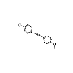 COc1ccc(C#Cc2ccc(Cl)cc2)cc1